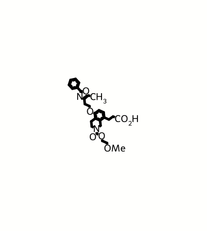 COCCOC(=O)N1CCc2c(OCCc3nc(-c4ccccc4)oc3C)ccc(CCC(=O)O)c2C1